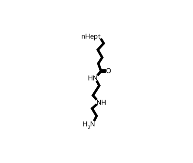 CCCCCCCCCCCC(=O)NCCNCCN